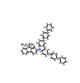 C[Si]1(C)c2ccccc2-c2ccc(-n3c4ccc(-c5ccc(-c6ccccc6)cc5)cc4c4cc(-c5ccc(-c6ccccc6)cc5)ccc43)cc21